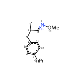 CCCc1ccc(CC(C)/C=N/OC)cc1